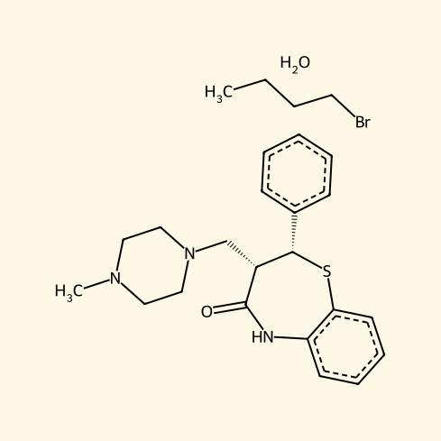 CCCCBr.CN1CCN(C[C@H]2C(=O)Nc3ccccc3S[C@H]2c2ccccc2)CC1.O